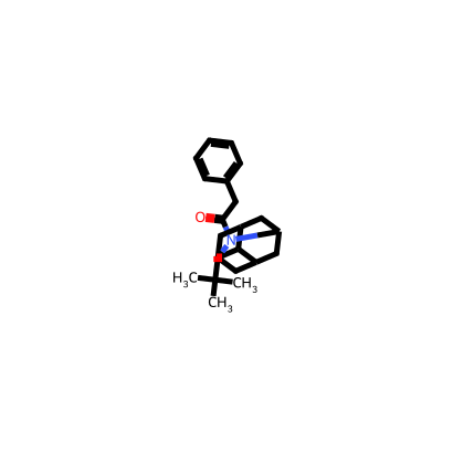 CC(C)(C)CC1C2CC3CC1CC(C2)N3C(=O)Cc1ccccc1